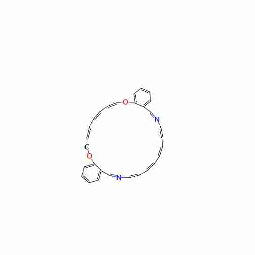 C1=CC=CN=Cc2ccccc2OC=CC=CC=CCOc2ccccc2C=NC=CC=C1